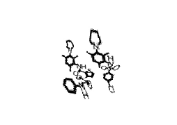 Cc1cc(C)c(N2CCCC2)c(C)c1NC(=O)c1sccc1S(=O)(=O)Nc1ccccc1.Cc1cc(C)c(N2CCCC2)c(C)c1NS(=O)(=O)c1ccc(Cl)cc1